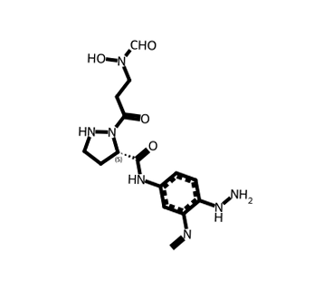 C=Nc1cc(NC(=O)[C@@H]2CCNN2C(=O)CCN(O)C=O)ccc1NN